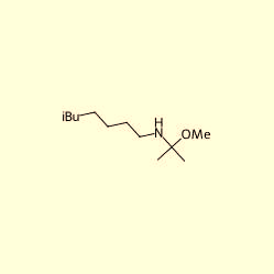 CCC(C)CCCCNC(C)(C)OC